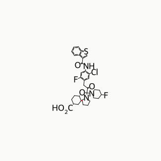 O=C(Nc1cc(F)c(CC(=O)C(OC2CCC(C(=O)O)CC2)(N2CCCC2)N2CCC(F)CC2)cc1Cl)c1csc2ccccc12